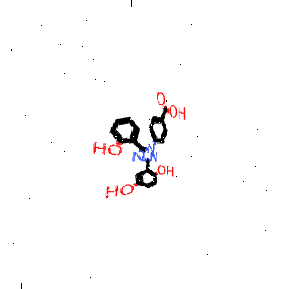 O=C(O)c1ccc(-n2nc(-c3cc(O)ccc3O)nc2-c2ccccc2O)cc1